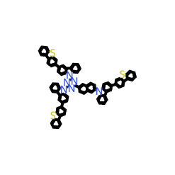 c1ccc2c(c1)sc1cc(-c3ccc4c(c3)c3ccccc3n4-c3ccc4cc(-c5nc(-n6c7ccccc7c7cc(-c8ccc9c(c8)sc8ccccc89)ccc76)nc(-n6c7ccccc7c7cc(-c8ccc9c(c8)sc8ccccc89)ccc76)n5)ccc4c3)ccc12